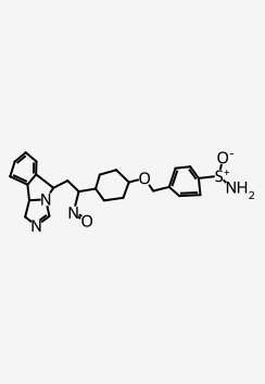 N[S+]([O-])c1ccc(COC2CCC(C(CC3c4ccccc4C4CN=CN43)N=O)CC2)cc1